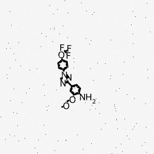 COCOc1cc(-c2ncn(-c3ccc(OC(F)(F)F)cc3)n2)ccc1N